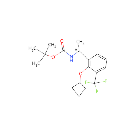 C[C@@H](NC(=O)OC(C)(C)C)c1cccc(C(F)(F)F)c1OC1CCC1